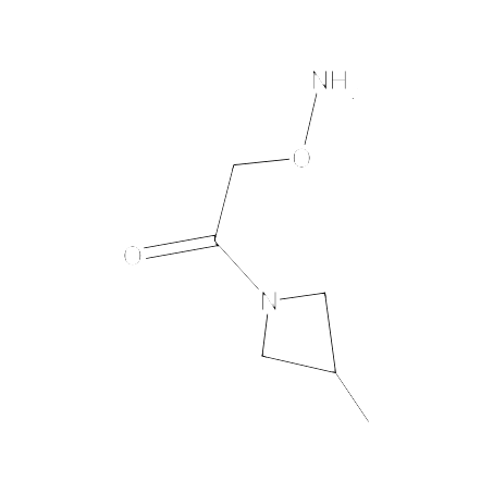 CC1CN(C(=O)[C@H](C)ON)C1